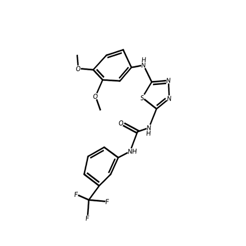 COc1ccc(Nc2nnc(NC(=O)Nc3cccc(C(F)(F)F)c3)s2)cc1OC